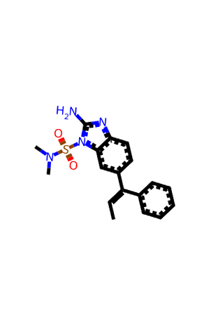 CC=C(c1ccccc1)c1ccc2nc(N)n(S(=O)(=O)N(C)C)c2c1